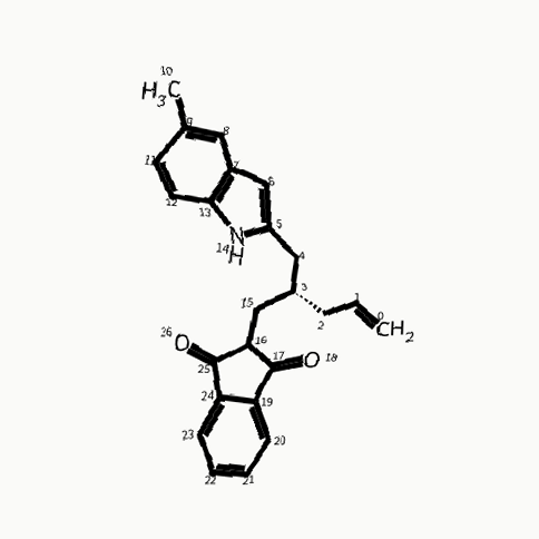 C=CC[C@@H](Cc1cc2cc(C)ccc2[nH]1)CC1C(=O)c2ccccc2C1=O